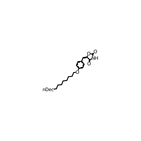 CCCCCCCCCCCCCCCCCCOc1ccc(C=C2OC(=O)NC2=O)cc1